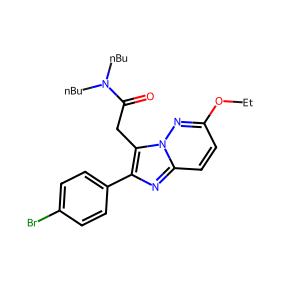 CCCCN(CCCC)C(=O)Cc1c(-c2ccc(Br)cc2)nc2ccc(OCC)nn12